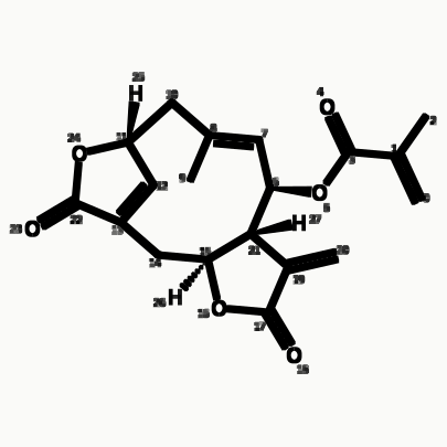 C=C(C)C(=O)O[C@@H]1/C=C(\C)C[C@@H]2C=C(C[C@@H]3OC(=O)C(=C)[C@H]31)C(=O)O2